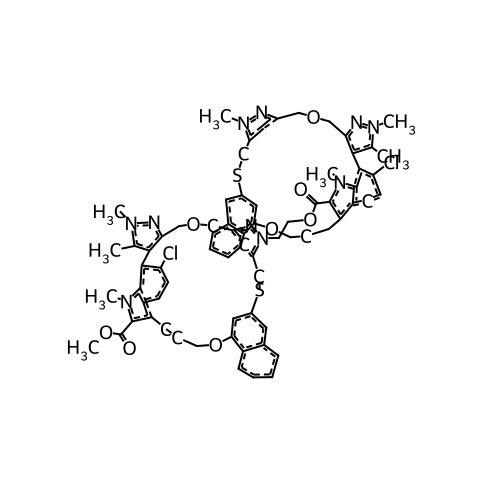 COC(=O)c1c2c3ccc(Cl)c(c3n1C)-c1c(nn(C)c1C)COCc1cc(n(CCOC(=O)c3c4c5ccc(Cl)c(c5n3C)-c3c(nn(C)c3C)COCc3cc(n(C)n3)CSc3cc(c5ccccc5c3)OCCC4)n1)CSc1cc(c3ccccc3c1)OCCC2